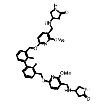 COc1nc(OCc2cccc(-c3cccc(COc4ccc(CNC5CNC(=O)C5)c(OC)n4)c3C)c2C)ccc1CNC1CNC(=O)C1